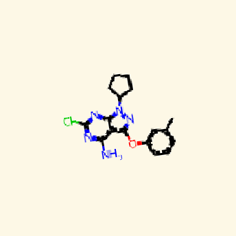 Cc1cccc(Oc2nn(C3CCCC3)c3nc(Cl)nc(N)c23)c1